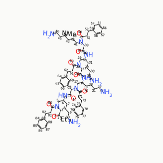 CCC(=O)CN(C[C@H](CCCCN)NC(=O)CN(C[C@H](CCCCN)NC(=O)CN(C[C@H](CCCCN)NC(=O)CN(C[C@H](CCCCN)NC)C(=O)CCc1ccccc1)C(=O)CCc1ccccc1)C(=O)CCc1ccccc1)C(=O)CCc1ccccc1